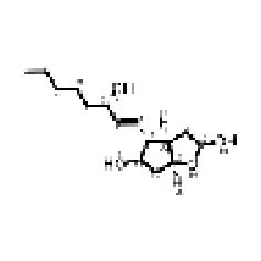 CCCCC[C@H](O)/C=C/[C@@H]1[C@H]2CC(O)O[C@H]2C[C@H]1O